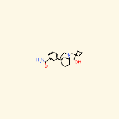 NC(=O)c1cccc(C23CCCC(C2)N(CC2(CO)CCC2)CC3)c1